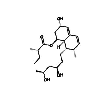 CC[C@H](C)C(=O)OC1C[C@H](O)C=C2C=C[C@H](C)[C@H](CC[C@@H](O)C[C@H](C)O)[C@H]21